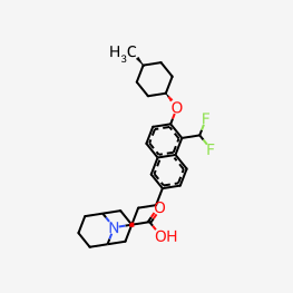 C[C@H]1CC[C@@H](Oc2ccc3cc(CCCN4C5CCCC4CC(C(=O)O)C5)ccc3c2C(F)F)CC1